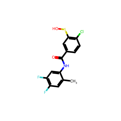 Cc1cc(F)c(F)cc1NC(=O)c1ccc(Cl)c(SO)c1